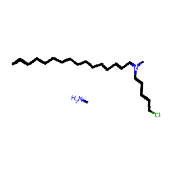 CCCCCCCCCCCCCCCCN(C)CCCCCCl.CN